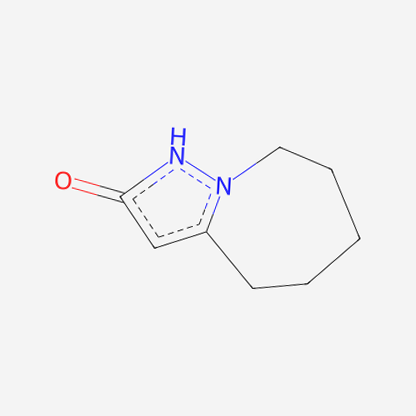 O=c1cc2n([nH]1)CCCCC2